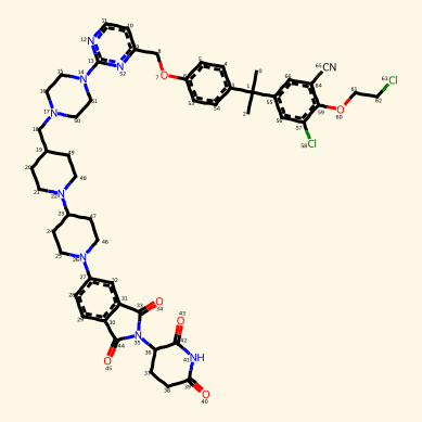 CC(C)(c1ccc(OCc2ccnc(N3CCN(CC4CCN(C5CCN(c6ccc7c(c6)C(=O)N(C6CCC(=O)NC6=O)C7=O)CC5)CC4)CC3)n2)cc1)c1cc(Cl)c(OCCCl)c(C#N)c1